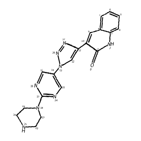 O=c1[nH]c2ccccc2cc1-c1cn(-c2cnc(N3CCNCC3)nc2)nn1